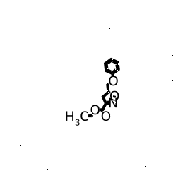 CCOC(=O)C1=NOC(COc2ccccc2)C1